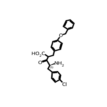 N[C@@H](Cc1ccc(Cl)cc1)C(=O)C(Cc1ccc(OCc2ccccc2)cc1)C(=O)O